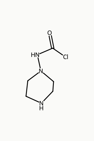 O=C(Cl)NN1CCNCC1